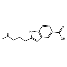 CNCCCc1cc2cc(C(=O)O)ccc2[nH]1